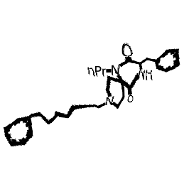 CCCN1C(=O)C(Cc2ccccc2)NC(=O)C12CCN(CCCCCCc1ccccc1)CC2